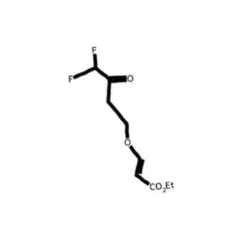 CCOC(=O)C=COCCC(=O)C(F)F